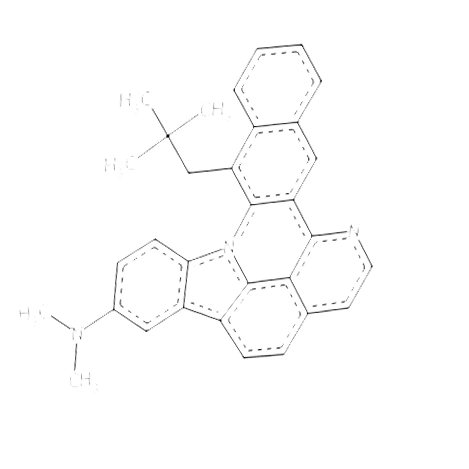 CN(C)c1ccc2c(c1)c1ccc3ccnc4c5cc6ccccc6c(CC(C)(C)C)c5n2c1c34